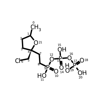 CC1CC[C@@](CCl)(CCP(=O)(O)OP(=O)(O)OP(=O)(O)O)O1